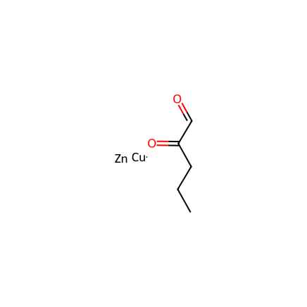 CCCC(=O)C=O.[Cu].[Zn]